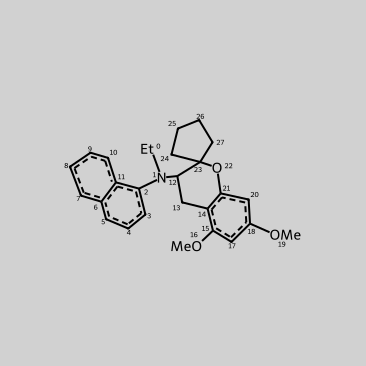 CCN(c1cccc2ccccc12)C1Cc2c(OC)cc(OC)cc2OC12CCCC2